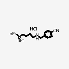 CCCN(CCC)CCCCNCc1ccc(C#N)cc1.Cl